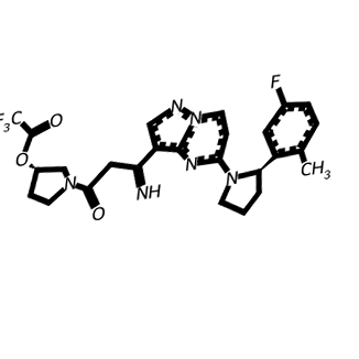 Cc1ccc(F)cc1[C@H]1CCCN1c1ccn2ncc(C(=N)CC(=O)N3CC[C@H](OC(=O)C(F)(F)F)C3)c2n1